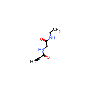 C#CC(=O)NCC(=O)NCC